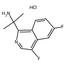 CC(C)(N)c1ncc(F)c2cc(F)ccc12.Cl